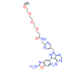 CCCOCCOCCOCCOCCC(=O)NCc1ncc(Cn2nc(-c3ccc4oc(N)nc4c3)c3c(N)ncnc32)cn1